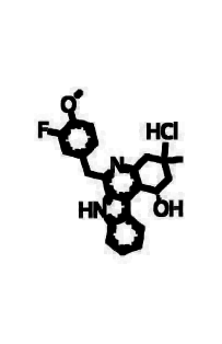 COc1ccc(Cc2nc3c(c4c2[nH]c2ccccc24)[C@@H](O)CC(C)(C)C3)cc1F.Cl